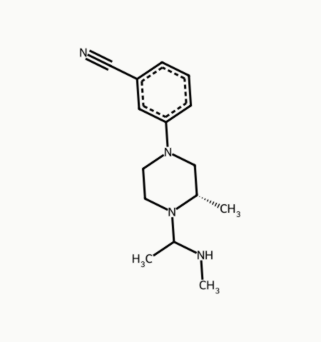 CNC(C)N1CCN(c2cccc(C#N)c2)C[C@@H]1C